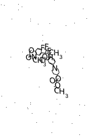 CCOC(=O)OC1CCN(c2ccc(C(C)C(O)(c3ccc4c(c3)N(C)C(=O)CO4)C(F)(F)F)c(Cl)c2)CC1